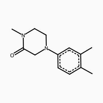 Cc1ccc(N2CCN(C)C(=O)C2)cc1C